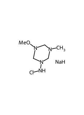 CON1CN(C)CN(NCl)C1.[NaH]